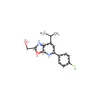 CC(C)c1cc(-c2ccc(F)cc2)nc2oc(CO)nc12